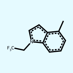 Cc1cccc2c1ccn2CC(F)(F)F